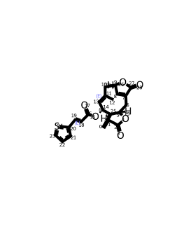 C=C1C(=O)O[C@H]2CC3=C[C@@H](C/C(C)=C/[C@@H](OC(=O)/C=C/c4cccs4)[C@H]12)OC3=O